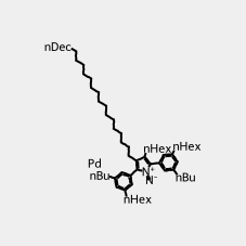 CCCCCCCCCCCCCCCCCCCCCCCCCCC1=C(c2cc(CCCC)cc(CCCCCC)c2)[N+](=[N-])C(c2cc(CCCC)cc(CCCCCC)c2)=C1CCCCCC.[Pd]